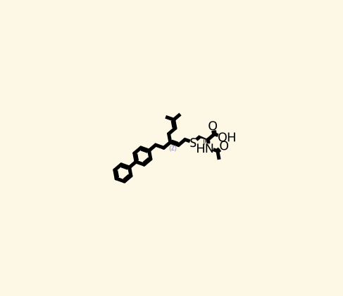 CC(=O)N[C@@H](CSC/C=C(\CC=C(C)C)CCc1ccc(-c2ccccc2)cc1)C(=O)O